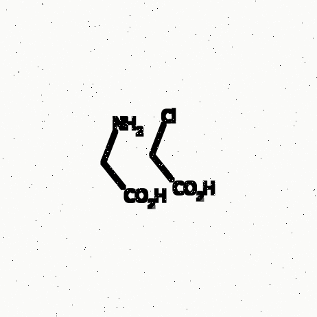 NCC(=O)O.O=C(O)CCl